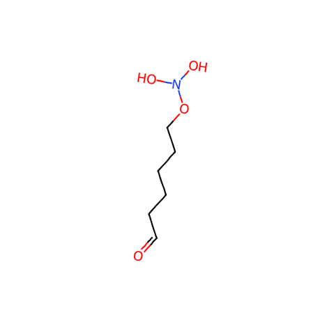 O=CCCCCCON(O)O